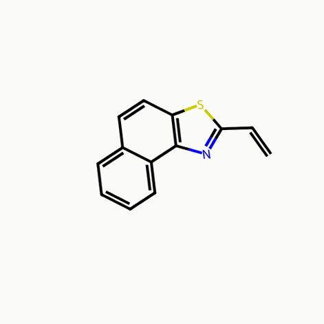 C=Cc1nc2c(ccc3ccccc32)s1